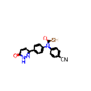 N#Cc1ccc(N(C(=O)S)c2ccc(-c3ccc(=O)[nH]n3)cc2)cc1